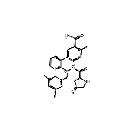 NC(=O)c1cc(-c2cccnc2[C@H](Cc2cc(F)cc(F)c2)NC(=O)C2CC(=O)CN2)ccc1F